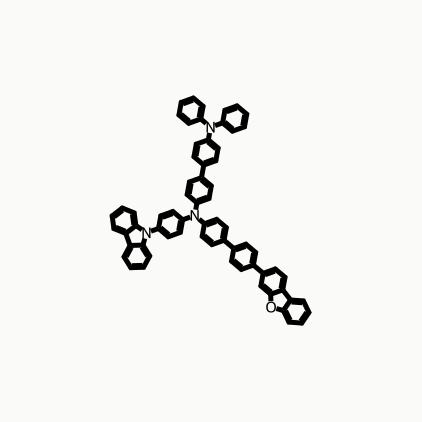 c1ccc(N(c2ccccc2)c2ccc(-c3ccc(N(c4ccc(-c5ccc(-c6ccc7c(c6)oc6ccccc67)cc5)cc4)c4ccc(-n5c6ccccc6c6ccccc65)cc4)cc3)cc2)cc1